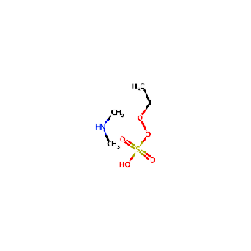 CCOOS(=O)(=O)O.CNC